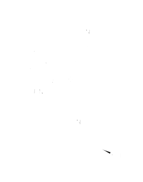 O=C(N[C@H](CN1CC[C@H](O)C1)c1ccccc1)C1(c2ccncc2)CC1